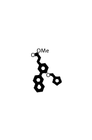 COC(=O)CCc1ccc(OCC2CCCC2)c(-c2ccc3ccccc3c2)c1